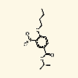 CCCCOc1ccc(C(=O)OC(C)C)cc1[N+](=O)[O-]